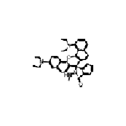 CCN(CC)c1ccc2c3c(ccc2c1)C(c1ccccc1C=O)(N(C)NC)c1ccc2cccc(N(CC)CC)c2c1O3